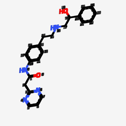 O=C(Cc1ncccn1)Nc1ccc(CCNCC(O)c2ccccc2)cc1